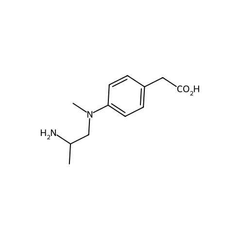 CC(N)CN(C)c1ccc(CC(=O)O)cc1